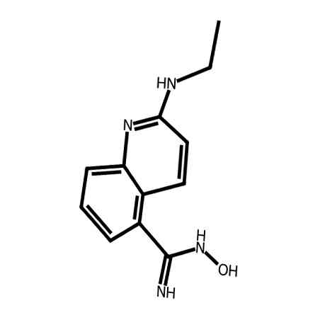 CCNc1ccc2c(C(=N)NO)cccc2n1